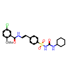 COc1ccc(Cl)cc1C(=O)NC=Cc1ccc(S(=O)(=O)NC(=O)NC2CCCCC2)cc1